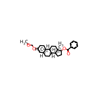 COCO[C@H]1CC[C@@]2(C)[C@@H](CC[C@@H]3[C@@H]2CC[C@]2(C)[C@@H](OC(=O)c4ccccc4)CC[C@@H]32)C1